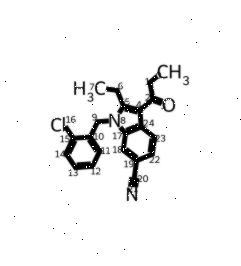 CCC(=O)c1c(CC)n(Cc2ccccc2Cl)c2cc(C#N)ccc12